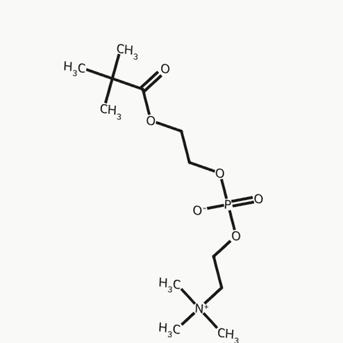 CC(C)(C)C(=O)OCCOP(=O)([O-])OCC[N+](C)(C)C